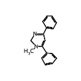 CN1CN=C(c2ccccc2)C=C1c1ccccc1